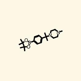 CN1CCN(C(C)(C)c2ccc(B3OC(C)(C)C(C)(C)O3)cc2)CC1